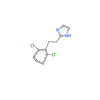 Clc1cccc(Cl)c1CCc1ncc[nH]1